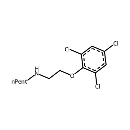 CCCCCNCCOc1c(Cl)cc(Cl)cc1Cl